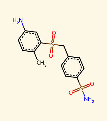 Cc1ccc(N)cc1S(=O)(=O)Cc1ccc(S(N)(=O)=O)cc1